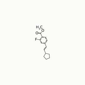 COC(=O)c1ccc(C=CC2CCCC2)cc1F